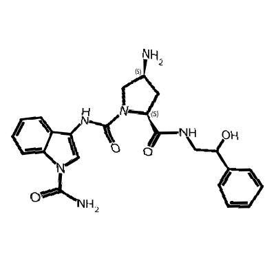 NC(=O)n1cc(NC(=O)N2C[C@@H](N)C[C@H]2C(=O)NCC(O)c2ccccc2)c2ccccc21